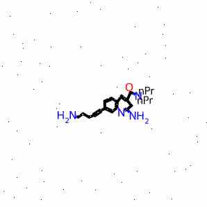 CCCN(CCC)C(=O)C1=Cc2ccc(C#CCCCN)cc2N=C(N)C1